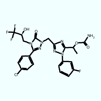 CC(OC(N)=O)c1nc(Cn2nc(-c3ccc(Cl)cc3)n(C[C@H](O)C(F)(F)F)c2=O)nn1-c1cccc(F)c1